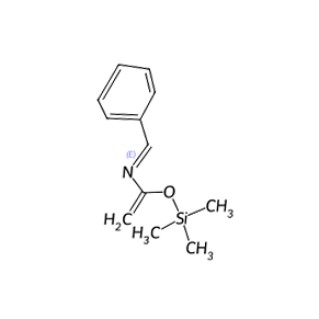 C=C(/N=C/c1ccccc1)O[Si](C)(C)C